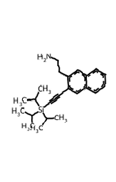 CC(C)[Si](C#Cc1cc2ccccc2cc1CCN)(C(C)C)C(C)C